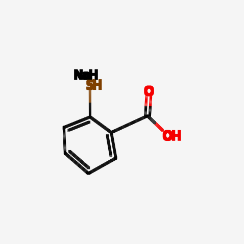 O=C(O)c1ccccc1S.[NaH]